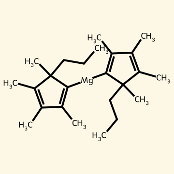 CCCC1(C)C(C)=C(C)C(C)=[C]1[Mg][C]1=C(C)C(C)=C(C)C1(C)CCC